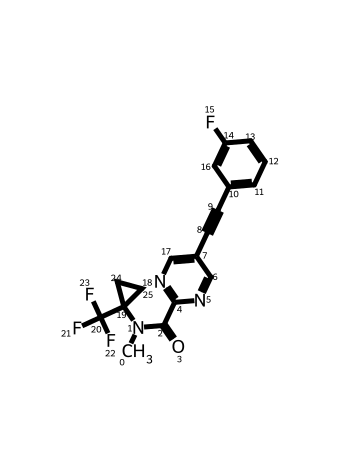 CN(C(=O)c1ncc(C#Cc2cccc(F)c2)cn1)C1(C(F)(F)F)CC1